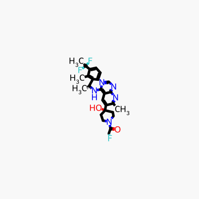 Cc1nc2ncnc(N[C@H](C)c3cccc(C(C)(F)F)c3C)c2cc1C1(O)CCN(C(=O)CF)CC1